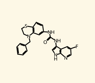 O=C(Nc1ccc2c(c1)N(Cc1ccccc1)CCS2)Nc1c[nH]c2ncc(F)cc12